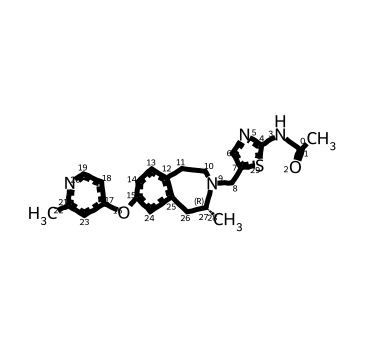 CC(=O)Nc1ncc(CN2CCc3ccc(Oc4ccnc(C)c4)cc3C[C@H]2C)s1